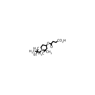 CCC(C)(C)CN1CCC(OC(=O)CCC(=O)O)CC1(C)C